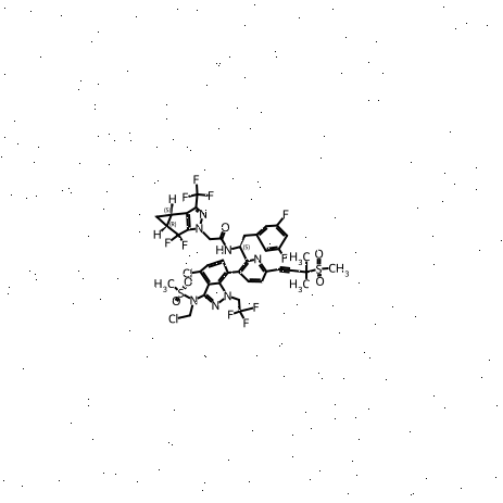 CC(C)(C#Cc1ccc(-c2ccc(Cl)c3c(N(CCl)S(C)(=O)=O)nn(CC(F)(F)F)c23)c([C@H](Cc2cc(F)cc(F)c2)NC(=O)Cn2nc(C(F)(F)F)c3c2C(F)(F)[C@@H]2C[C@H]32)n1)S(C)(=O)=O